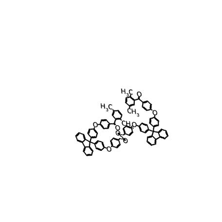 Cc1ccc(C)c(C(=O)c2ccc(Oc3ccc(C4(c5ccc(Oc6ccc(S(=O)(=O)c7ccc(Oc8ccc(C9(c%10ccc(Oc%11ccc(C(=O)c%12cc(C)ccc%12C)cc%11)cc%10)c%10ccccc%10-c%10ccccc%109)cc8)cc7)cc6)cc5)c5ccccc5-c5ccccc54)cc3)cc2)c1